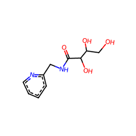 O=C(NCc1ccccn1)C(O)C(O)CO